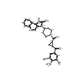 Nc1c(Br)cc(C(=O)C2CC2C(=O)N2CCC(n3c(=O)[nH]c4c5ccccc5ncc43)CC2)cc1Br